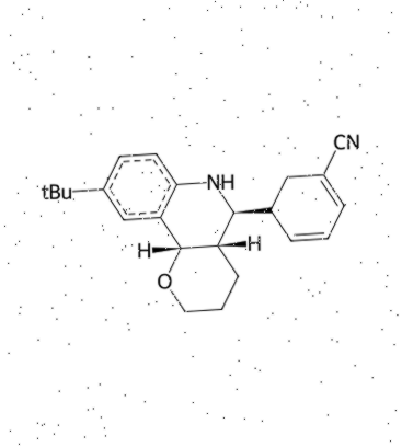 CC(C)(C)c1ccc2c(c1)[C@H]1OCCC[C@H]1[C@H](C1C=CC=C(C#N)C1)N2